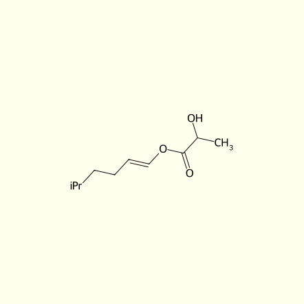 CC(C)CCC=COC(=O)C(C)O